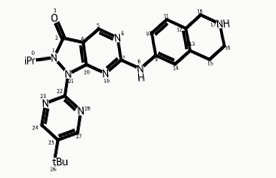 CC(C)n1c(=O)c2cnc(Nc3ccc4c(c3)CCNC4)nc2n1-c1ncc(C(C)(C)C)cn1